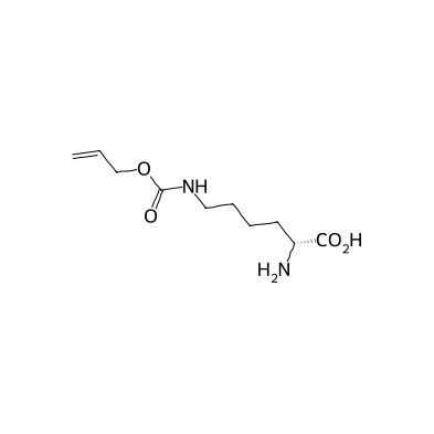 C=CCOC(=O)NCCCC[C@@H](N)C(=O)O